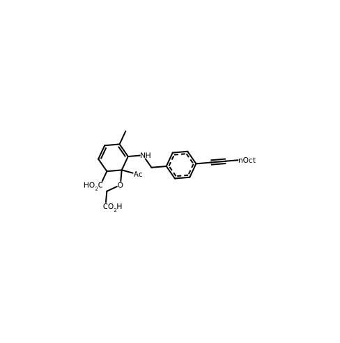 CCCCCCCCC#Cc1ccc(CNC2=C(C)C=CC(C(=O)O)C2(OCC(=O)O)C(C)=O)cc1